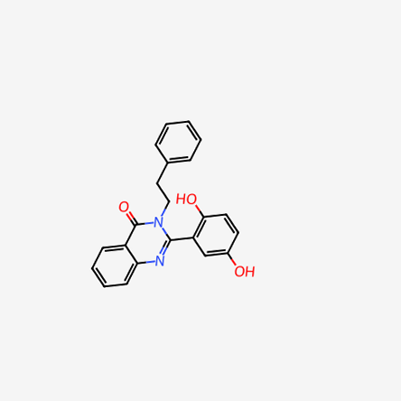 O=c1c2ccccc2nc(-c2cc(O)ccc2O)n1CCc1ccccc1